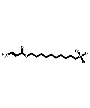 CC=CC(=O)OCCCCCCCCCC[Si](Br)(Br)Br